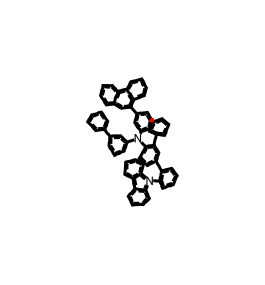 c1ccc(-c2cccc(N(c3cccc(-c4cc5ccccc5c5ccccc45)c3)c3ccc(-c4ccccc4-n4c5ccccc5c5ccccc54)cc3-c3ccccc3)c2)cc1